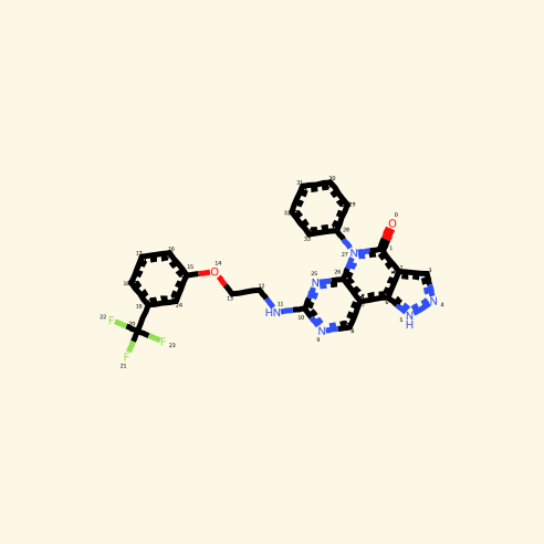 O=c1c2cn[nH]c2c2cnc(NCCOc3cccc(C(F)(F)F)c3)nc2n1-c1ccccc1